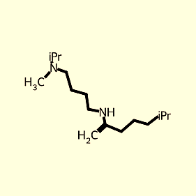 C=C(CCCC(C)C)NCCCCN(C)C(C)C